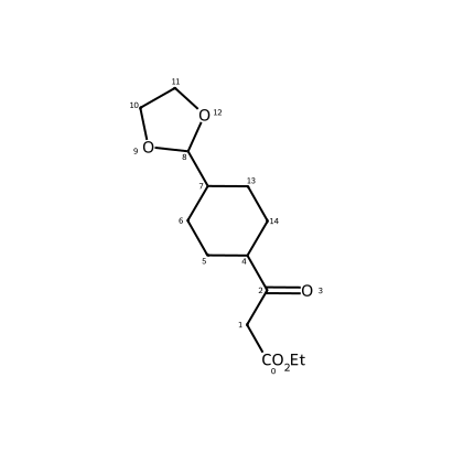 CCOC(=O)CC(=O)C1CCC(C2OCCO2)CC1